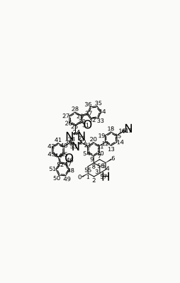 C[C@@H]1C[C@@H]2C[C@H](C)CC(c3cc(-c4ccc(C#N)cc4)cc(-c4nc(-c5cccc6c5oc5ccccc56)nc(-c5cccc6c5oc5ccccc56)n4)c3)(C1)C2